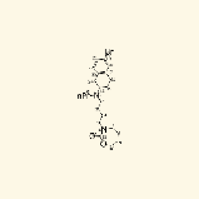 CCCN(CCCCN1CCCCOC1=O)C1CCc2cc(Br)ccc2C1